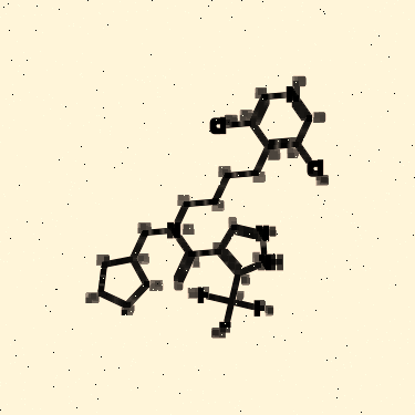 C=C(c1cn[nH]c1C(F)(F)F)N(CCCCc1c(Cl)cncc1Cl)CC1CCCC1